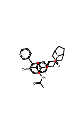 CC(=O)Nc1cc(Cl)c(-c2cccnc2)cc1C=CC(=O)N1C2CCC1CN(Cc1ccc(F)cc1)C2